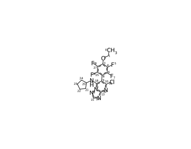 CCOc1c(F)c(F)c(-c2c(Cl)nc3ncnn3c2NC2CCCC2)c(F)c1F